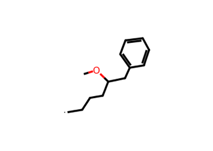 [CH2]CCCC(Cc1ccccc1)OC